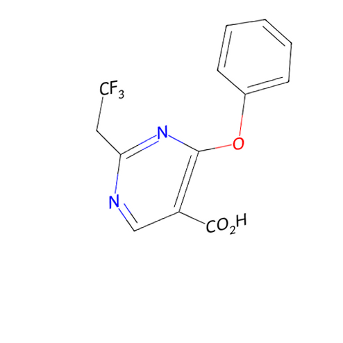 O=C(O)c1cnc(CC(F)(F)F)nc1Oc1ccccc1